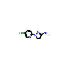 NC1=NN(c2ccc(Cl)cn2)CC1